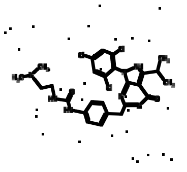 CC(C)c1[nH]n(-c2c(Cl)cc(Cl)cc2Cl)c2nc(Cc3ccc(NC(=O)NCCN(C)C)cc3)nc(=O)c1-2